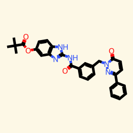 CC(C)(C)C(=O)Oc1ccc2[nH]c(NC(=O)c3cccc(Cn4nc(-c5ccccc5)ccc4=O)c3)nc2c1